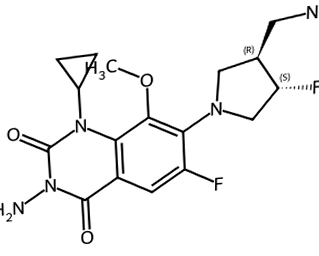 COc1c(N2C[C@@H](CN)[C@H](F)C2)c(F)cc2c(=O)n(N)c(=O)n(C3CC3)c12